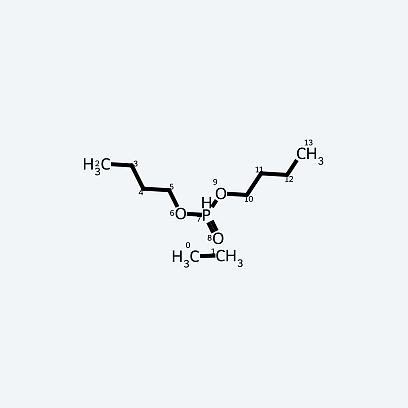 CC.CCCCO[PH](=O)OCCCC